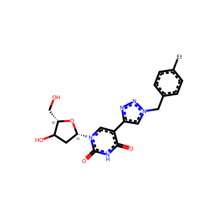 CCc1ccc(Cn2cc(-c3cn([C@@H]4CC(O)[C@H](CO)O4)c(=O)[nH]c3=O)nn2)cc1